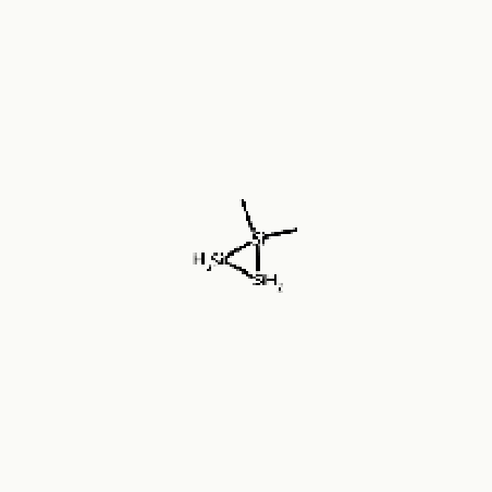 C[Si]1(C)[SiH2][SiH2]1